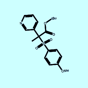 COc1ccc(S(=O)(=O)C(C)(C(=O)OC(C)(C)C)c2cccnc2)cc1